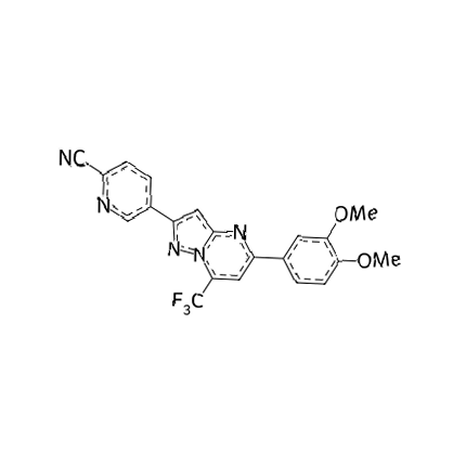 COc1ccc(-c2cc(C(F)(F)F)n3nc(-c4ccc(C#N)nc4)cc3n2)cc1OC